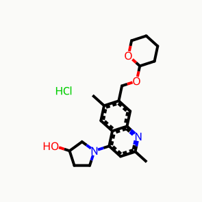 Cc1cc(N2CCC(O)C2)c2cc(C)c(COC3CCCCO3)cc2n1.Cl